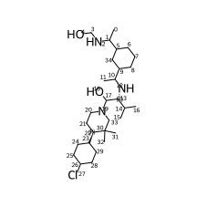 CC(NCO)C1CCCC(C(C)N[C@H](C(C)C)C(O)N2CC[C@H](C3CCC(Cl)CC3)C(C)(C)C2)C1